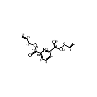 C=CCOC(=O)c1cccc(C(=O)OCC=C)n1